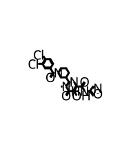 Cn1c(C2CCCN(C(=O)c3ccc(Cl)c(Cl)c3)C2)nc(C(=O)Nc2cnoc2)c(O)c1=O